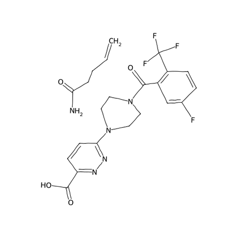 C=CCCC(N)=O.O=C(O)c1ccc(N2CCN(C(=O)c3cc(F)ccc3C(F)(F)F)CC2)nn1